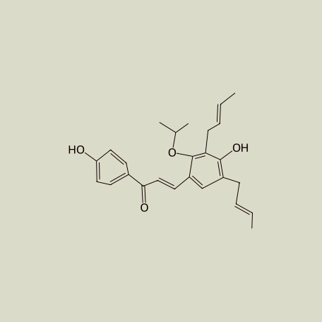 C/C=C/Cc1cc(/C=C/C(=O)c2ccc(O)cc2)c(OC(C)C)c(C/C=C/C)c1O